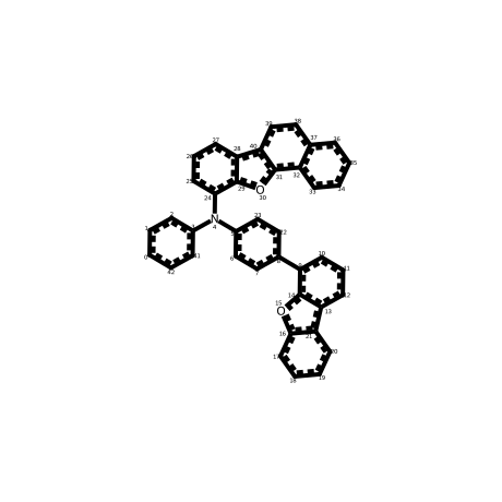 c1ccc(N(c2ccc(-c3cccc4c3oc3ccccc34)cc2)c2cccc3c2oc2c4ccccc4ccc32)cc1